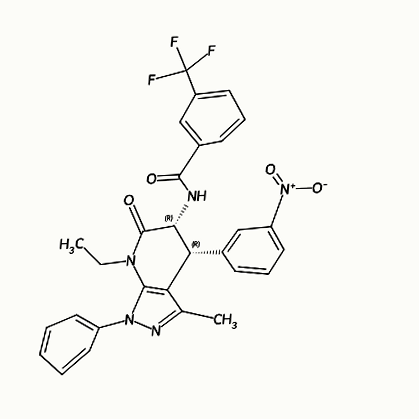 CCN1C(=O)[C@H](NC(=O)c2cccc(C(F)(F)F)c2)[C@H](c2cccc([N+](=O)[O-])c2)c2c(C)nn(-c3ccccc3)c21